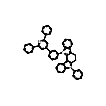 c1ccc(-c2cc(-c3cccc(-n4c5c(c6ccccc64)CCc4c-5c5ccccc5n4-c4ccccc4)c3)cc(-c3ccccc3)n2)cc1